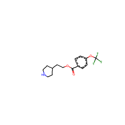 O=C(OCCC1CCNCC1)c1ccc(OC(F)(F)F)cc1